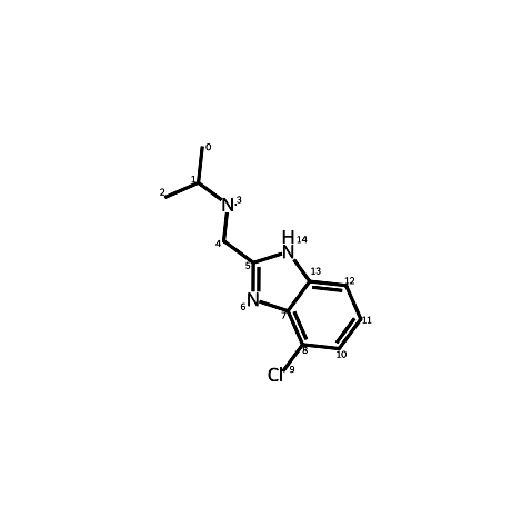 CC(C)[N]Cc1nc2c(Cl)cccc2[nH]1